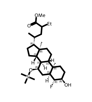 CCC(CC(C)[C@H]1CC[C@H]2[C@@H]3[C@H](O[Si](C)(C)C)C[C@@H]4[C@@H](F)[C@H](O)CC[C@]4(C)[C@H]3CC[C@]12C)C(=O)OC